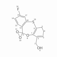 OCC1=CCCC2=C1OC1(OO1)c1ccc(F)cc1S2